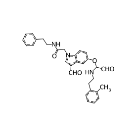 Cc1ccccc1CCNC(C=O)Oc1ccc2c(c1)c(C=O)cn2CC(=O)NCCc1ccccc1